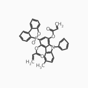 C=CC(=O)Oc1c(P2(=O)Oc3ccccc3-c3ccccc32)cc(OC(=O)C=C)c2c1c1cc(C)ccc1n2-c1ccccc1